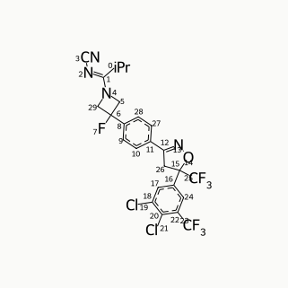 CC(C)/C(=N\C#N)N1CC(F)(c2ccc(C3=NOC(c4cc(Cl)c(Cl)c(C(F)(F)F)c4)(C(F)(F)F)C3)cc2)C1